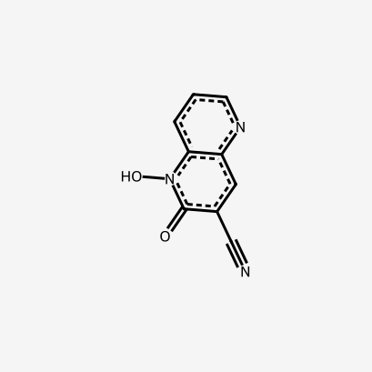 N#Cc1cc2ncccc2n(O)c1=O